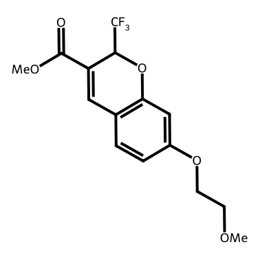 COCCOc1ccc2c(c1)OC(C(F)(F)F)C(C(=O)OC)=C2